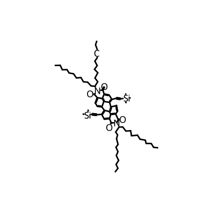 CCCCCCCCCCCC(CCCCCCCCCCC)N1C(=O)c2ccc3c4c(C#C[Si](C)(C)C)cc5c6c(ccc(c7c(C#C[Si](C)(C)C)cc(c2c37)C1=O)c64)C(=O)N(C(CCCCCCCCCCC)CCCCCCCCCCC)C5=O